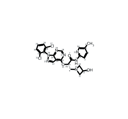 Cc1ccc(NC(=O)[C@H](CN2CC(O)C2)Oc2ncnc3c2cnn3-c2c(Cl)cccc2Cl)nc1